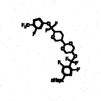 CCCCCCCc1cc(F)c(C(F)(F)OC2COC(C3CCC(C(F)(F)Oc4ccc(C(F)(F)F)c(F)c4)OC3)OC2)c(F)c1